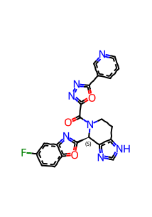 O=C(c1nnc(-c2cccnc2)o1)N1CCc2[nH]cnc2[C@H]1c1nc2cc(F)ccc2o1